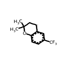 CC1(C)C[CH]c2cc(C(F)(F)F)ccc2O1